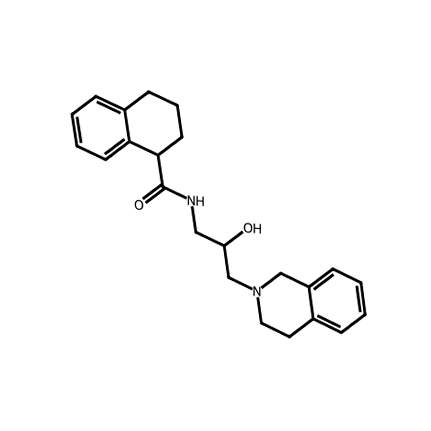 O=C(NCC(O)CN1CCc2ccccc2C1)C1CCCc2ccccc21